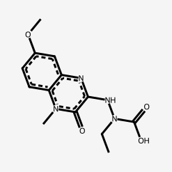 CCN(Nc1nc2cc(OC)ccc2n(C)c1=O)C(=O)O